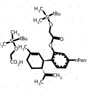 C=C(C)[C@@H]1CCC(C)=C[C@H]1c1ccc(CCCCC)cc1OC(=O)CO[Si](C)(C)C(C)(C)C.CC(C)(C)[Si](C)(C)OCC(=O)O